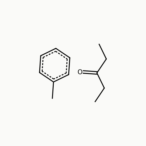 CCC(=O)CC.Cc1ccccc1